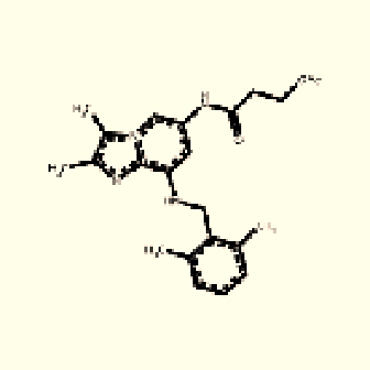 CC(=O)OCCC(=O)Nc1cc(NCc2c(C)cccc2C)c2nc(C)c(C)n2c1